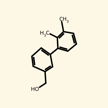 Cc1cccc(-c2cccc(CO)c2)c1C